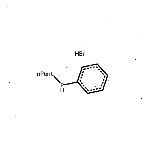 Br.CCCCCPc1ccccc1